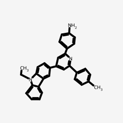 CCn1c2ccccc2c2cc(-c3cc(-c4ccc(C)cc4)nc(-c4ccc(N)cc4)c3)ccc21